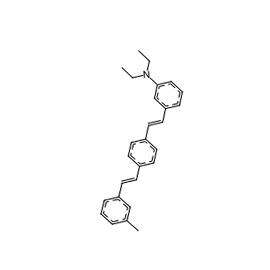 CCN(CC)c1cccc(C=Cc2ccc(C=Cc3cccc(C)c3)cc2)c1